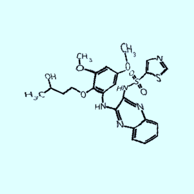 COc1cc(Nc2nc3ccccc3nc2NS(=O)(=O)c2cncs2)c(OCCC(C)O)c(OC)c1